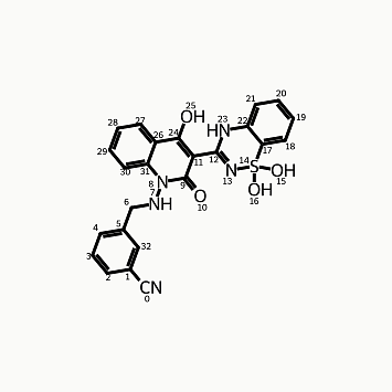 N#Cc1cccc(CNn2c(=O)c(C3=NS(O)(O)c4ccccc4N3)c(O)c3ccccc32)c1